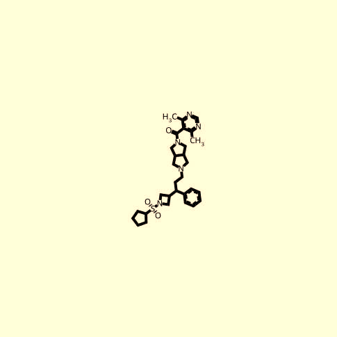 Cc1ncnc(C)c1C(=O)N1CC2CN(CCC(c3ccccc3)C3CN(S(=O)(=O)C4CCCC4)C3)CC2C1